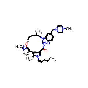 C=C1C2=CC(=CN1/C=C\CCC)C(=O)/N=C1\Nc3ccc(CN4CCN(C)CC4)cc3N1CC(C)CCCO/C(NC)=C\2C